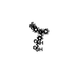 O=C(O)CCNC(=O)c1ccc(Cc2cc(-c3ccc(OC(F)(F)F)cc3)nn2C2CCCCC2)cc1